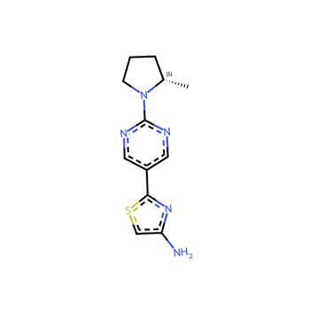 C[C@H]1CCCN1c1ncc(-c2nc(N)cs2)cn1